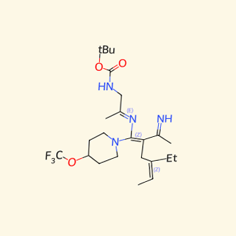 C/C=C(/CC)C/C(C(C)=N)=C(/N=C(\C)CNC(=O)OC(C)(C)C)N1CCC(OC(F)(F)F)CC1